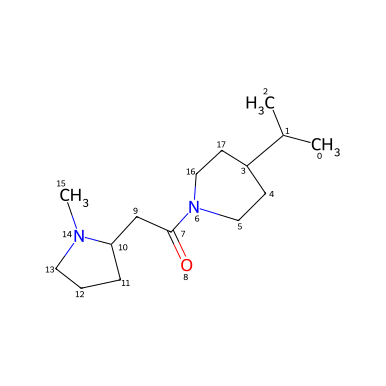 CC(C)C1CCN(C(=O)CC2CCCN2C)CC1